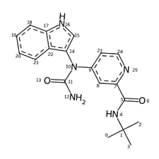 CC(C)(C)NC(=O)c1cc(N(C(N)=O)c2c[nH]c3ccccc23)ccn1